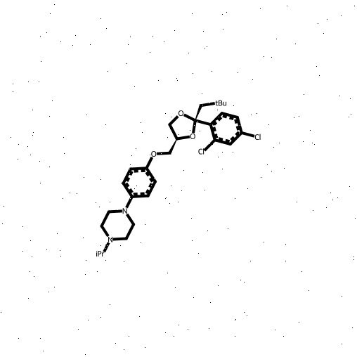 CC(C)N1CCN(c2ccc(OC[C@H]3CO[C@](CC(C)(C)C)(c4ccc(Cl)cc4Cl)O3)cc2)CC1